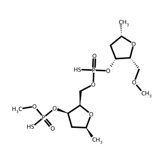 COC[C@H]1O[C@@H](C)C[C@H]1OP(=O)(S)OC[C@H]1O[C@@H](C)C[C@H]1OP(=O)(S)OC